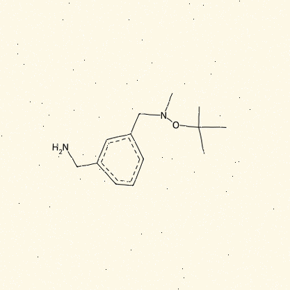 CN(Cc1cccc(CN)c1)OC(C)(C)C